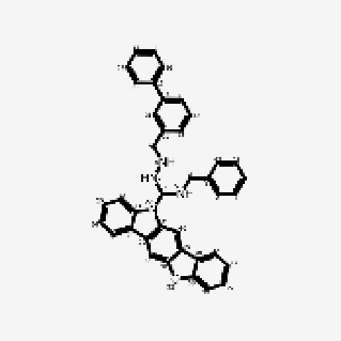 c1ccc(CNC(NNCc2cccc(-c3ccccc3)c2)n2c3ccccc3c3cc4oc5ccccc5c4cc32)cc1